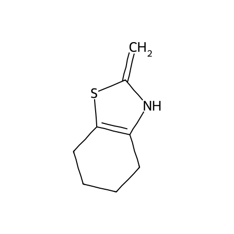 C=C1NC2=C(CCCC2)S1